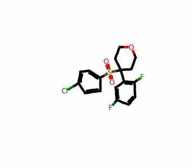 O=S(=O)(c1ccc(Cl)cc1)C1(c2cc(F)ccc2F)CCOCC1